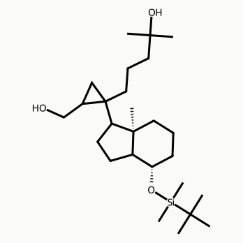 CC(C)(O)CCCC1(C2CCC3[C@@H](O[Si](C)(C)C(C)(C)C)CCC[C@@]32C)CC1CO